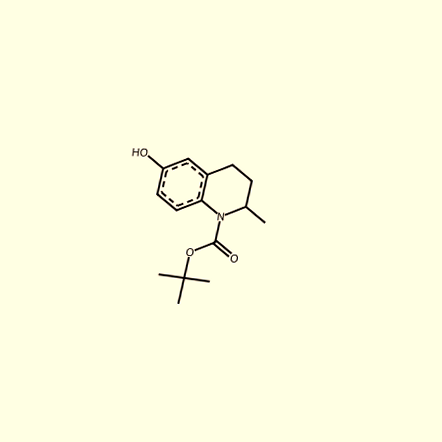 CC1CCc2cc(O)ccc2N1C(=O)OC(C)(C)C